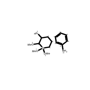 CCCC1CCC[Si](OC)(OC)C1OC.Nc1ccccc1